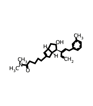 C=CC(=CCc1cccc(C)c1)[C@H]1[C@H]2CC(CCCCC(=O)N(C)C)=C[C@H]2C[C@H]1O